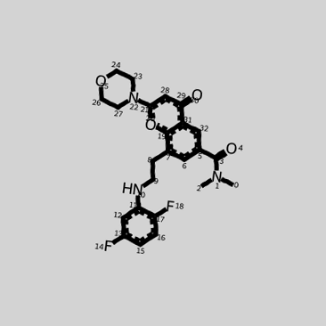 CN(C)C(=O)c1cc(CCNc2cc(F)ccc2F)c2oc(N3CCOCC3)cc(=O)c2c1